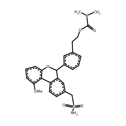 COc1cccc2c1-c1ccc(CS(N)(=O)=O)cc1C(c1cccc(CCOC(=O)N(C)C)c1)O2